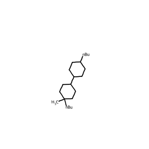 CCCCC1CCC(C2CCC(C)(CCCC)CC2)CC1